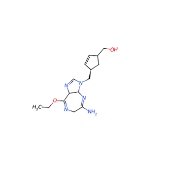 CCOC1=NCC(N)=NC2C1N=CN2C[C@H]1C=CC(CO)C1